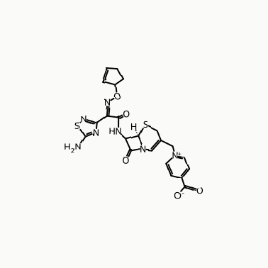 Nc1nc(/C(=N/OC2C=CCC2)C(=O)NC2C(=O)N3C=C(C[n+]4ccc(C(=O)[O-])cc4)CS[C@H]23)ns1